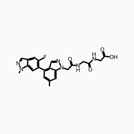 Cc1cc(-c2cc3c(cnn3C)cc2F)c2cnn(CC(=O)NCC(=O)NCC(=O)O)c2c1